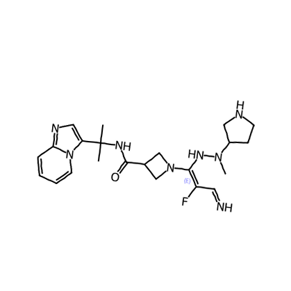 CN(N/C(=C(/F)C=N)N1CC(C(=O)NC(C)(C)c2cnc3ccccn23)C1)C1CCNC1